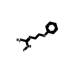 NC(=NCCOc1ccccc1)NF